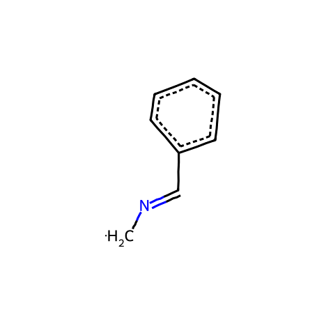 [CH2]N=Cc1ccccc1